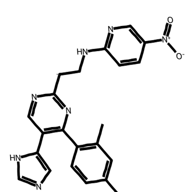 Cc1ccc(-c2nc([CH]CNc3ccc([N+](=O)[O-])cn3)ncc2-c2cnc[nH]2)c(C)c1